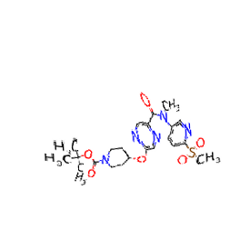 CN(C(=O)c1cnc(OC2CCN(C(=O)OC(C)(C)C)CC2)cn1)c1ccc(S(C)(=O)=O)nc1